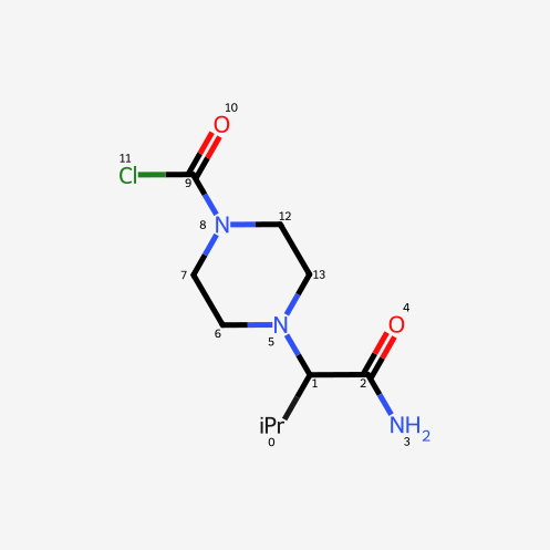 CC(C)C(C(N)=O)N1CCN(C(=O)Cl)CC1